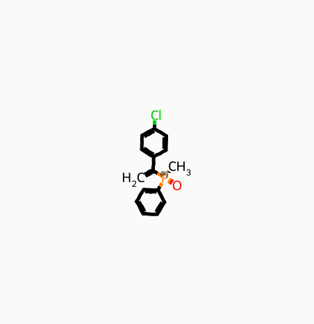 C=C(c1ccc(Cl)cc1)[P@](C)(=O)c1ccccc1